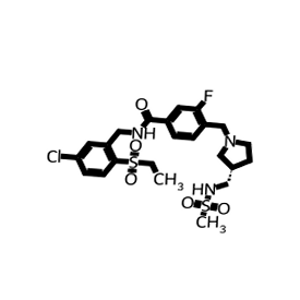 CCS(=O)(=O)c1ccc(Cl)cc1CNC(=O)c1ccc(CN2CC[C@H](CNS(C)(=O)=O)C2)c(F)c1